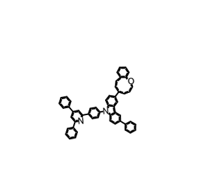 c1ccc(-c2cc(-c3ccccc3)nc(-c3ccc(-n4c5ccc(-c6ccccc6)cc5c5cc(-c6cccoc7ccccc7cc6)ccc54)cc3)c2)cc1